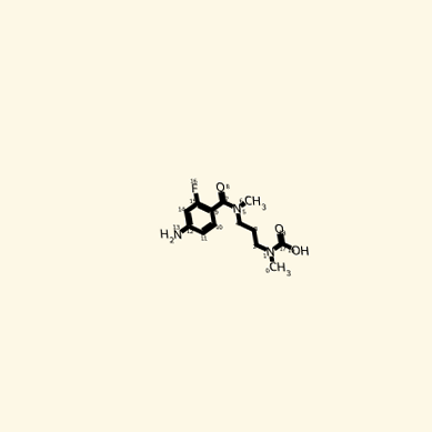 CN(CCCN(C)C(=O)c1ccc(N)cc1F)C(=O)O